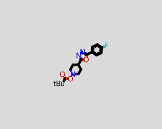 CC(C)(C)C(=O)ON1CCC(c2nnc(-c3ccc(F)cc3)o2)CC1